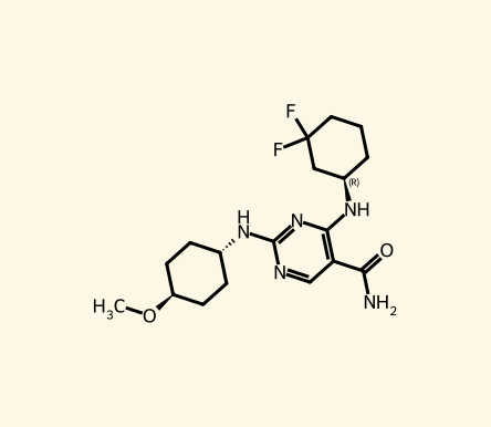 CO[C@H]1CC[C@H](Nc2ncc(C(N)=O)c(N[C@@H]3CCCC(F)(F)C3)n2)CC1